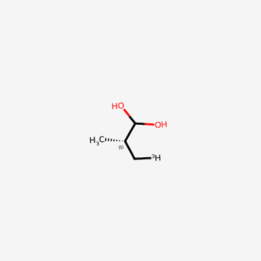 [3H]C[C@H](C)C(O)O